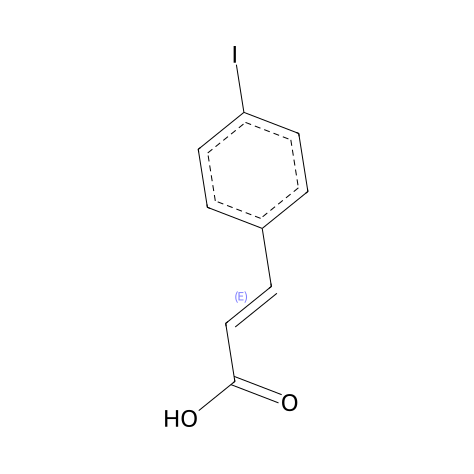 O=C(O)/C=C/c1ccc(I)cc1